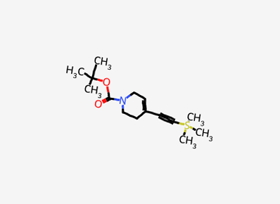 CC(C)(C)OC(=O)N1CC=C(C#CS(C)(C)C)CC1